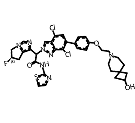 O=C(Nc1nccs1)C(c1ncn2c1C[C@@H](F)C2)n1cc2c(Cl)cc(-c3ccc(OCCN4CCC5(CC4)CC(O)C5)cc3)c(Cl)c2n1